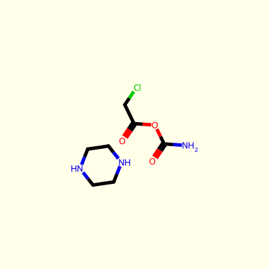 C1CNCCN1.NC(=O)OC(=O)CCl